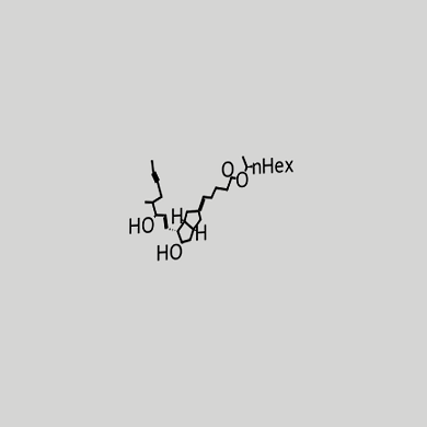 CC#CCC(C)[C@H](O)C=C[C@@H]1[C@H]2CC(=CCCCC(=O)O[C@@H](C)CCCCCC)C[C@H]2C[C@H]1O